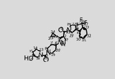 O=C(c1cnn(C2CCN(C(=O)N3CCC[C@@H](O)C3)CC2)c1C1CC1)N1CC[C@@H](c2ccccc2C(F)(F)F)C1